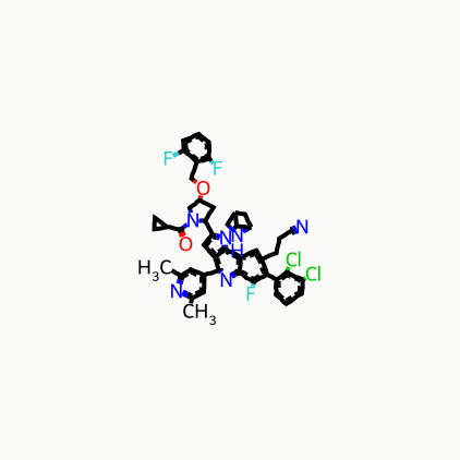 Cc1cc(-c2nc3c(F)c(-c4cccc(Cl)c4Cl)c(CCC#N)cc3c3c2cc(C2CC(OCc4c(F)cccc4F)CN2C(=O)C2CC2)n3C2C3CNC2C3)cc(C)n1